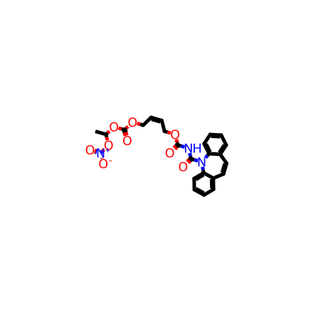 CC(OC(=O)OC/C=C\COC(=O)NC(=O)N1c2ccccc2C=Cc2ccccc21)O[N+](=O)[O-]